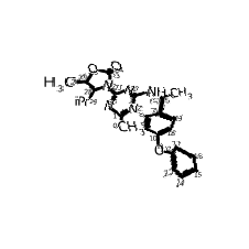 Cc1nc(N[C@@H](C)c2ccc(Oc3ccccc3)cc2)nc(N2C(=O)OC(C)C2C(C)C)n1